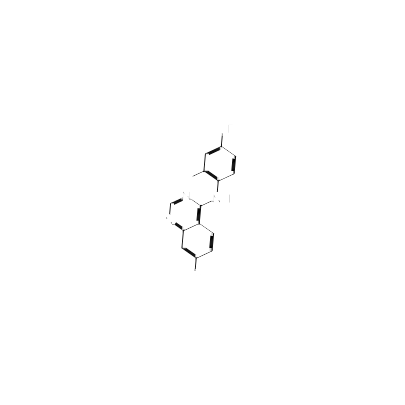 Fc1cc(C(F)(F)F)ccc1Nc1ncnc2cc(Br)ccc12